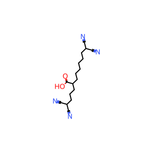 N#CC(C#N)CCCCCCC(CCCC(C#N)C#N)C(=O)O